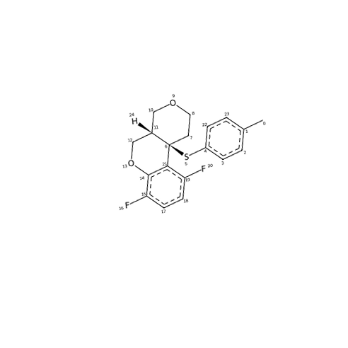 Cc1ccc(S[C@]23CCOC[C@H]2COc2c(F)ccc(F)c23)cc1